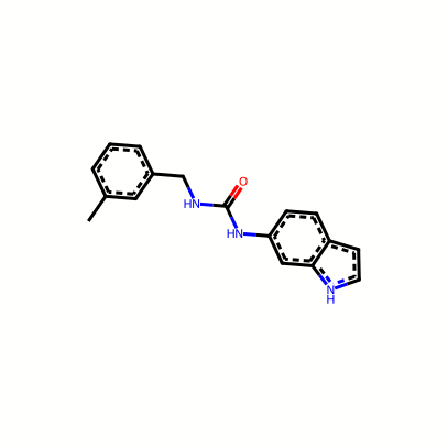 Cc1cccc(CNC(=O)Nc2ccc3cc[nH]c3c2)c1